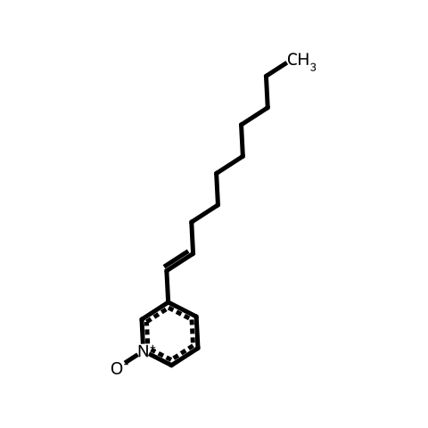 CCCCCCCCC=Cc1ccc[n+]([O-])c1